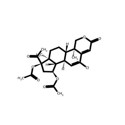 CC(=O)O[C@H]1C[C@](OC(C)=O)(C(C)=O)[C@@]2(C)CC[C@H]3[C@@H](C=C(Cl)C4=CC(=O)OC[C@@]43C)[C@H]12